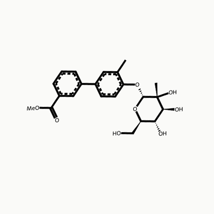 COC(=O)c1cccc(-c2ccc(O[C@H]3O[C@H](CO)[C@@H](O)[C@H](O)[C@@]3(C)O)c(C)c2)c1